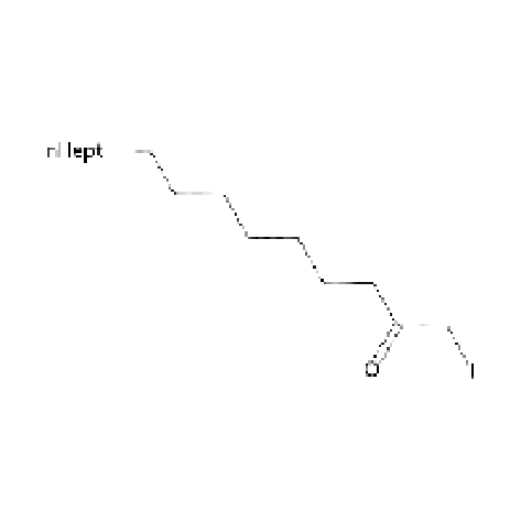 CCCCCCCCCCCCCCC(=O)CI